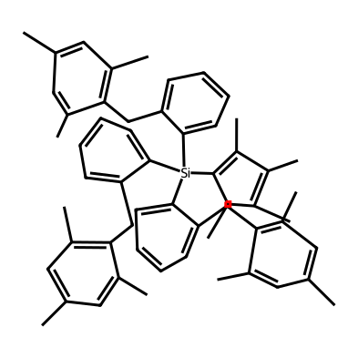 CC1=C(C)C(C)C([Si](c2ccccc2Cc2c(C)cc(C)cc2C)(c2ccccc2Cc2c(C)cc(C)cc2C)c2ccccc2Cc2c(C)cc(C)cc2C)=C1C